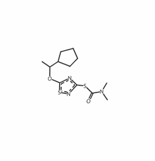 CC(Oc1nc(SC(=O)N(C)C)ns1)C1CCCC1